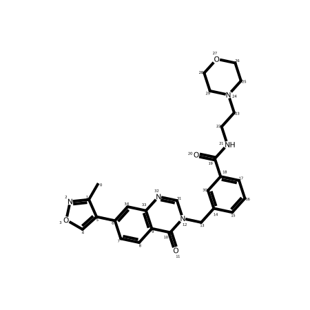 Cc1nocc1-c1ccc2c(=O)n(Cc3cccc(C(=O)NCCN4CCOCC4)c3)cnc2c1